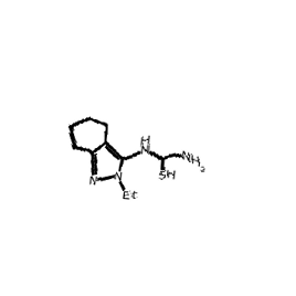 CCn1nc2c(c1NC(N)S)CCCC2